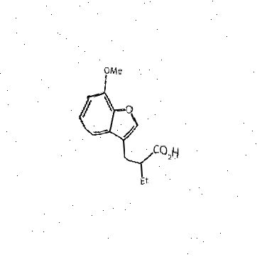 CCC(Cc1coc2c(OC)cccc12)C(=O)O